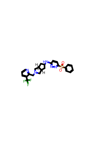 O=S(=O)(c1ccccc1)c1ccc(NC2C[C@@H]3CN(Cc4ncccc4C(F)(F)F)C[C@@H]3C2)nn1